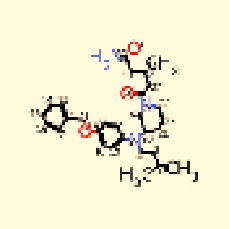 CC(C)CCN(c1ccc(OCc2ccccc2)cc1)C1CCCN(C(=O)CC(C)CC(N)=O)C1